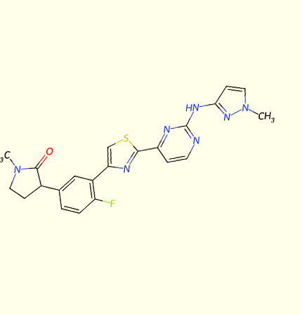 CN1CCC(c2ccc(F)c(-c3csc(-c4ccnc(Nc5ccn(C)n5)n4)n3)c2)C1=O